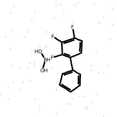 Fc1ccc(-c2ccccc2)c(F)c1F.OBO